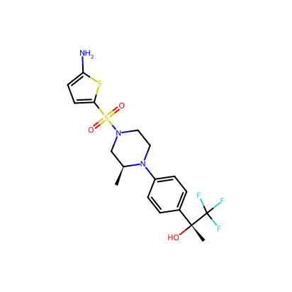 C[C@H]1CN(S(=O)(=O)c2ccc(N)s2)CCN1c1ccc([C@@](C)(O)C(F)(F)F)cc1